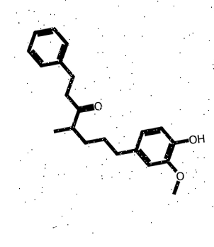 COc1cc(CCCC(C)C(=O)CCc2ccccc2)ccc1O